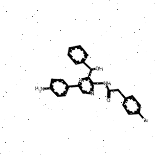 Nc1ccc(-c2cnc(NC(=O)Cc3ccc(Br)cc3)c(C(O)c3ccccc3)n2)cc1